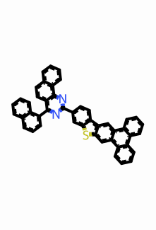 c1ccc2c(-c3nc(-c4ccc5c(c4)sc4cc6c7ccccc7c7ccccc7c6cc45)nc4c3ccc3ccccc34)cccc2c1